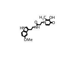 COc1ccc2[nH]cc(CCNC(=O)CCn3ccc(=O)c(O)c3C)c2c1